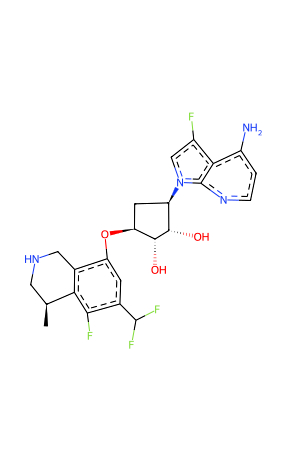 C[C@H]1CNCc2c(O[C@H]3C[C@@H](n4cc(F)c5c(N)ccnc54)[C@H](O)[C@@H]3O)cc(C(F)F)c(F)c21